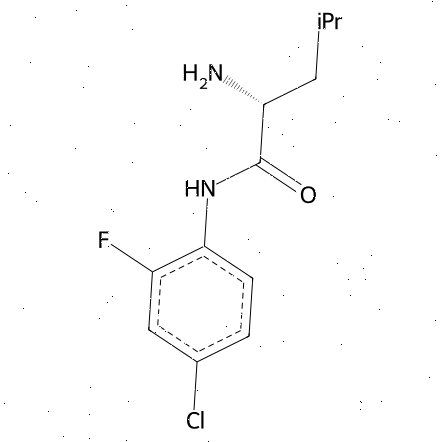 CC(C)C[C@@H](N)C(=O)Nc1ccc(Cl)cc1F